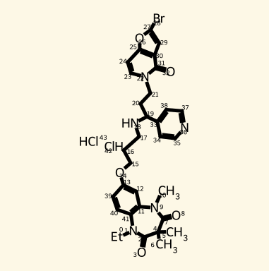 CCN1C(=O)C(C)(C)C(=O)N(C)c2cc(OCCCNC(CCn3ccc4oc(Br)cc4c3=O)c3ccncc3)ccc21.Cl.Cl